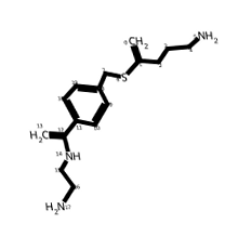 C=C(CCCN)SCc1ccc(C(=C)NCCN)cc1